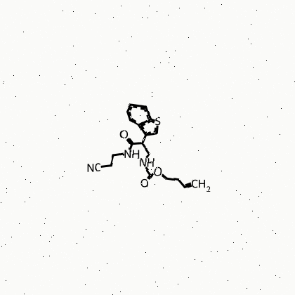 C=CCCOC(=O)NCC(C(=O)NCCC#N)c1csc2ccccc12